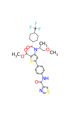 COCC(C)N(c1cc(-c2ccc(NC(=O)c3cscn3)cc2)sc1C(=O)OC)C(=O)[C@H]1CC[C@H](C(F)(F)F)CC1